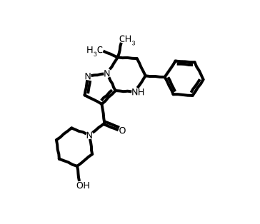 CC1(C)CC(c2ccccc2)Nc2c(C(=O)N3CCCC(O)C3)cnn21